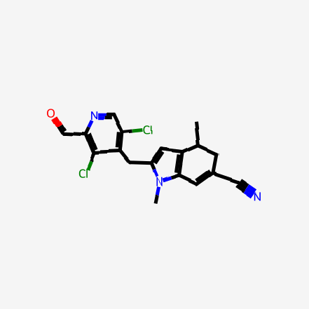 CC1CC(C#N)=Cc2c1cc(Cc1c(Cl)cnc(C=O)c1Cl)n2C